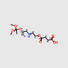 COC(C)(OC)O[SiH2]CNCCOC(=O)CCC(=O)O